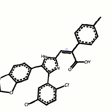 Cc1ccc(/C(=C/c2nc(-c3cc(Cl)ccc3Cl)c(-c3ccc4c(c3)OCO4)[nH]2)C(=O)O)cc1